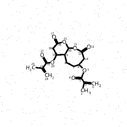 C=C(C)C(=O)OC1[CH]CC2[C](OC(=O)C1)OC(=O)CC2OC(=O)C(=C)C